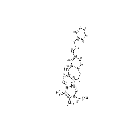 C[C@@H](C(=O)N[C@H]1CCc2ccc(OCCc3ccccc3)cc2NC1=O)N(C)C(=O)OC(C)(C)C